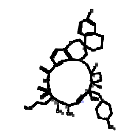 COCC[C@@H]1[C@@H](C)[C@@H](C)/C=C/[C@](CN2CCN(C)CC2)(OC)[C@@H]2CC[C@H]2CN2C[C@@]3(CCCc4cc(Cl)ccc43)COc3ccc(cc32)C(=O)NS1(=O)=O